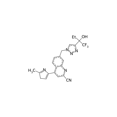 CCC(O)(c1cn(Cc2ccc3c(C4=CCC(C)=N4)cc(C#N)nc3c2)nn1)C(F)(F)F